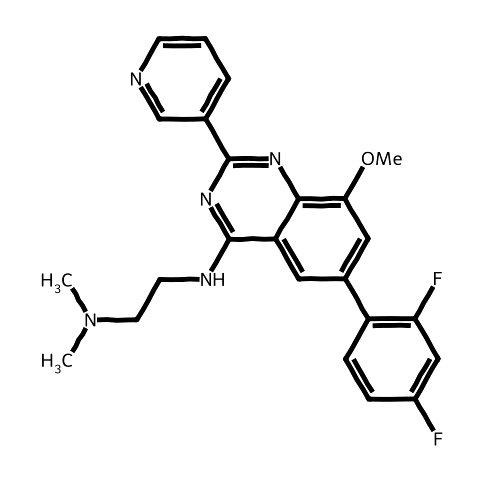 COc1cc(-c2ccc(F)cc2F)cc2c(NCCN(C)C)nc(-c3cccnc3)nc12